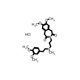 COc1ccc(CCN(C)CCCN2C(=O)Cc3cc(OC)c(OC)cc3CC2=O)cc1OC.Cl